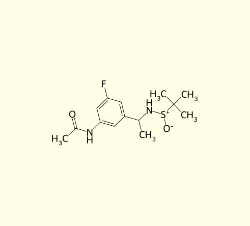 CC(=O)Nc1cc(F)cc(C(C)N[S+]([O-])C(C)(C)C)c1